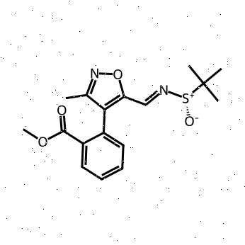 COC(=O)c1ccccc1-c1c(C)noc1C=N[S@@+]([O-])C(C)(C)C